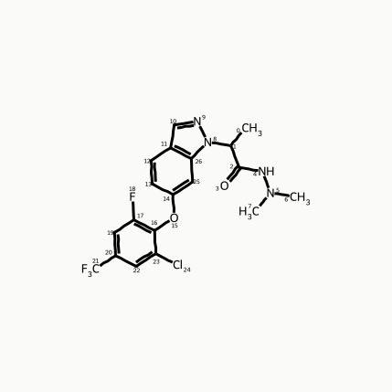 CC(C(=O)NN(C)C)n1ncc2ccc(Oc3c(F)cc(C(F)(F)F)cc3Cl)cc21